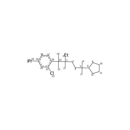 CCC(C)(CCC(C)(C)C1CCCC1)C(C)(C)c1ccc(C(C)C)cc1Cl